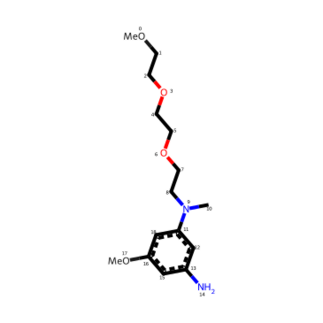 COCCOCCOCCN(C)c1cc(N)cc(OC)c1